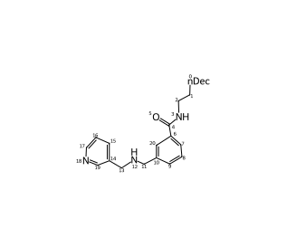 CCCCCCCCCCCCNC(=O)c1cccc(CNCc2cccnc2)c1